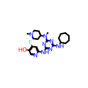 CN1CCC(N(C)c2nc(Nc3cc(F)c(O)cn3)nc(NC3CCCCCC3)n2)CC1